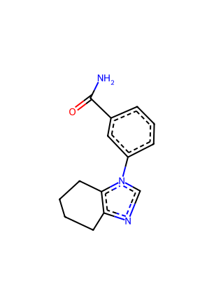 NC(=O)c1cccc(-n2cnc3c2CCCC3)c1